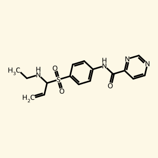 C=CC(NCC)S(=O)(=O)c1ccc(NC(=O)c2ccncn2)cc1